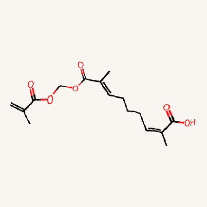 C=C(C)C(=O)OCOC(=O)C(C)=CCCCC=C(C)C(=O)O